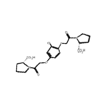 O=C(O)[C@H]1CCCN1C(=O)COc1ccc(OCC(=O)N2CCC[C@@H]2C(=O)O)c(Cl)c1